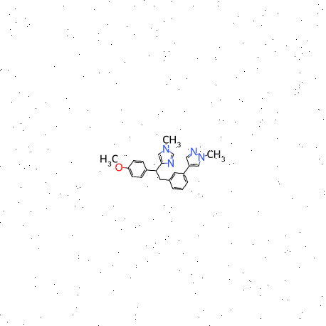 COc1ccc(C(Cc2cccc(-c3cnn(C)c3)c2)c2cn(C)cn2)cc1